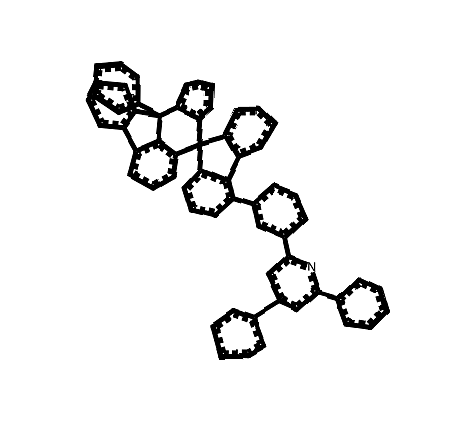 c1ccc(-c2cc(-c3ccccc3)nc(-c3cccc(-c4cccc5c4-c4ccccc4C54c5ccccc5C5(c6ccccc6)c6ccccc6-c6cccc4c65)c3)c2)cc1